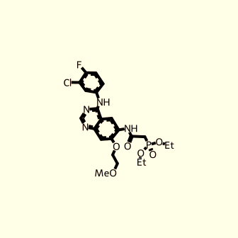 CCOP(=O)(CC(=O)Nc1cc2c(Nc3ccc(F)c(Cl)c3)ncnc2cc1OCCOC)OCC